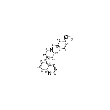 Cc1cccc(CN2CCN(c3cccc4ncncc34)CC2)c1